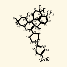 C[S+]([O-])c1cnc(N2CCC(c3nc4c(c(C5CCC(F)(F)CC5)c3C(F)c3ccc(C(F)(F)F)cc3)[C@@H](O)CC(C)(C)C4)CC2)nc1